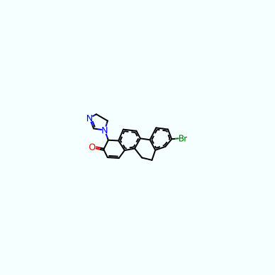 O=C1C=Cc2c(ccc3c2CCc2cc(Br)ccc2-3)C1N1C=NCC1